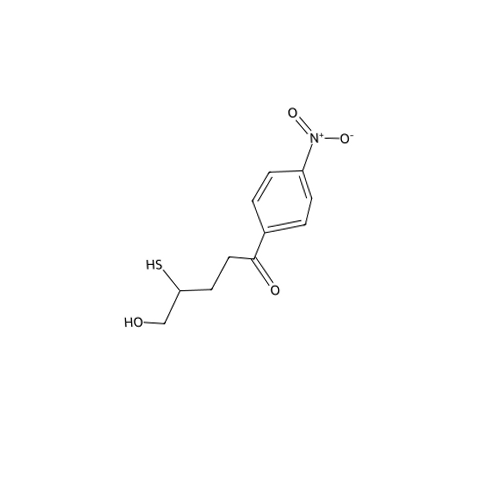 O=C(CCC(S)CO)c1ccc([N+](=O)[O-])cc1